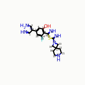 N=C/C(=C\N)c1cc(O)c(C(=N)SC(=N)N2CC3(CCNCC3)C2)c(F)c1